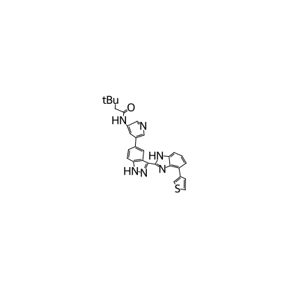 CC(C)(C)CC(=O)Nc1cncc(-c2ccc3[nH]nc(-c4nc5c(-c6ccsc6)cccc5[nH]4)c3c2)c1